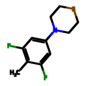 Cc1c(F)cc(N2CCSCC2)cc1F